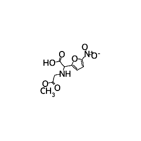 COC(=O)CNC(C(=O)O)c1ccc([N+](=O)[O-])o1